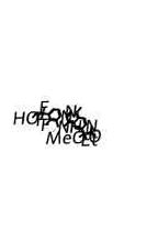 CCC1(OC)C(=O)N(C)c2cc3c(C)nnc(N[C@H](C)c4cccc(C(F)(F)CO)c4F)c3cc21